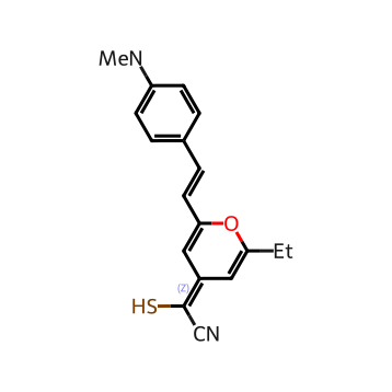 CCC1=C/C(=C(/S)C#N)C=C(C=Cc2ccc(NC)cc2)O1